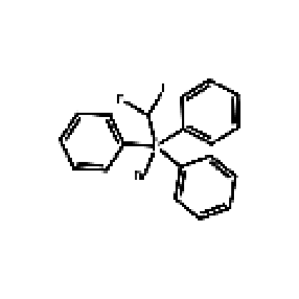 FC(F)P(Br)(c1ccccc1)(c1ccccc1)c1ccccc1